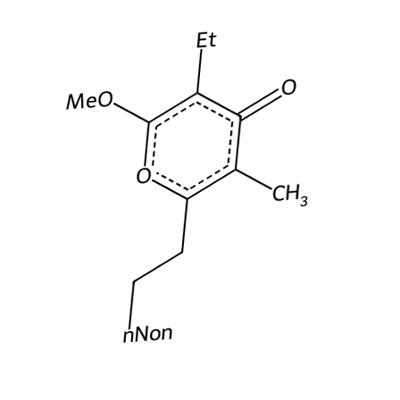 CCCCCCCCCCCc1oc(OC)c(CC)c(=O)c1C